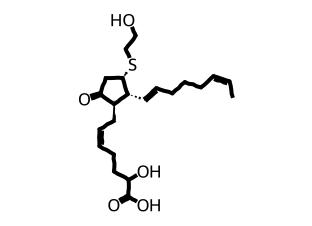 C/C=C\CCC/C=C/[C@H]1[C@@H](SCCO)CC(=O)[C@@H]1C/C=C\CCC(O)C(=O)O